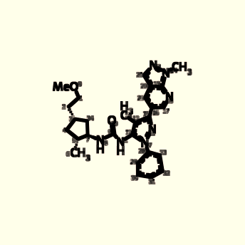 COCC[C@H]1C[C@@H](C)[C@H](NC(=O)Nc2c(C)c(-c3cnc4c(cnn4C)c3)nn2-c2ccccc2)C1